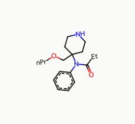 CCCOCC1(N(C(=O)CC)c2ccccc2)CCNCC1